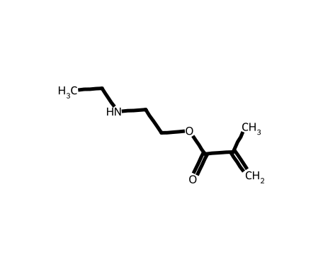 C=C(C)C(=O)OCCNCC